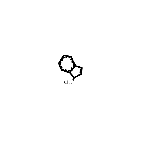 ClC(Cl)(Cl)C1[C]=Cc2ccccc21